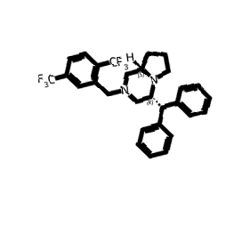 FC(F)(F)c1ccc(C(F)(F)F)c(CN2C[C@@H]3CCCN3[C@H](C(c3ccccc3)c3ccccc3)C2)c1